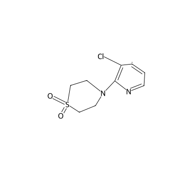 O=S1(=O)CCN(c2ncc[c]c2Cl)CC1